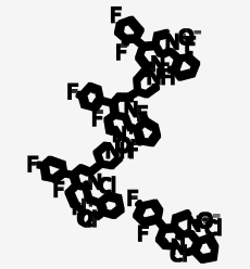 [O-][n+]1ccc2c(-c3ccc(F)cc3F)cc(C3CCNCC3)nc2c1-c1c(Cl)cccc1Cl.[O-][n+]1ccc2c(-c3ccc(F)cc3F)cc(C3CCNCC3)nc2c1-c1c(F)cccc1F.[O-][n+]1ccc2c(-c3ccc(F)cc3F)ccnc2c1-c1c(Cl)cccc1Cl.[O-][n+]1ccc2c(-c3ccc(F)cc3F)ccnc2c1-c1c(F)cccc1F